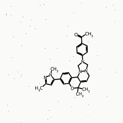 CC(=O)c1ccc(N2CN3CC=C4C(c5ccc(-c6cc(C)nn6C)cc5OC4(C)C)N3C2)cc1